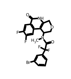 CN(C(=O)C(F)(F)c1cccc(Br)c1)C1COCc2[nH]c(=O)c3cc(F)c(F)cc3c21